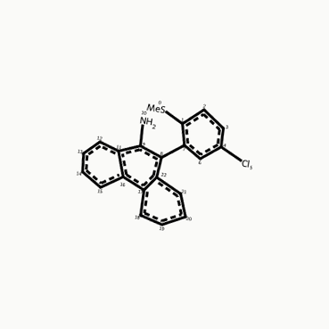 CSc1ccc(Cl)cc1-c1c(N)c2ccccc2c2ccccc12